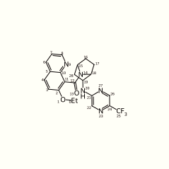 CCOc1ccc2cccnc2c1C(=O)N1C2CCC1C(Nc1cnc(C(F)(F)F)cn1)C2